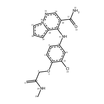 C=C(COc1ccc(Nc2c(C(N)=O)cnn3cccc23)cc1Cl)NC